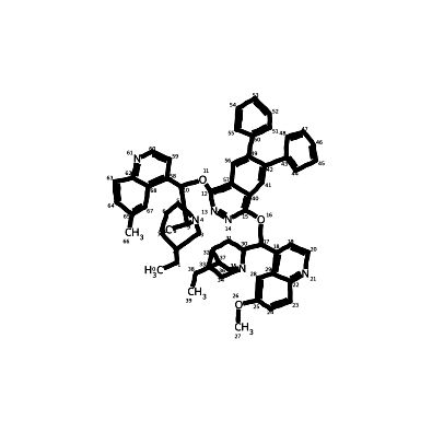 CCC1CN2CCC1CC2C(Oc1nnc(OC(c2ccnc3ccc(OC)cc23)C2CC3CCN2CC3CC)c2cc(-c3ccccc3)c(-c3ccccc3)cc12)c1ccnc2ccc(C)cc12